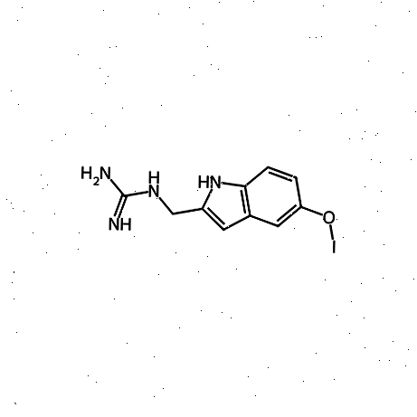 N=C(N)NCc1cc2cc(OI)ccc2[nH]1